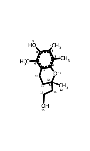 Cc1c(C)c2c(c(C)c1O)CC[C@@](C)(CCO)O2